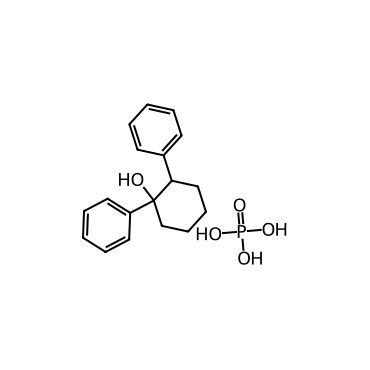 O=P(O)(O)O.OC1(c2ccccc2)CCCCC1c1ccccc1